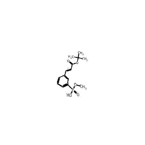 COP(=O)(O)c1cccc(/C=C/C(=O)OC(C)(C)C)c1